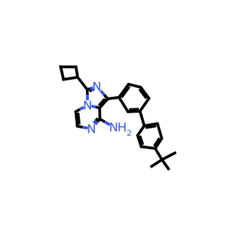 CC(C)(C)c1ccc(-c2cccc(-c3nc(C4CCC4)n4ccnc(N)c34)c2)cc1